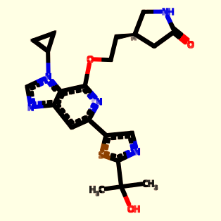 CC(C)(O)c1ncc(-c2cc3ncn(C4CC4)c3c(OCC[C@H]3CNC(=O)C3)n2)s1